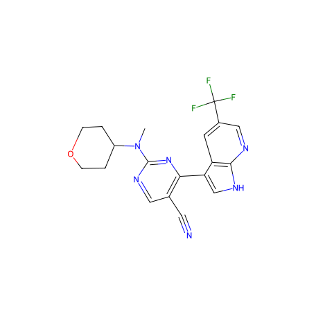 CN(c1ncc(C#N)c(-c2c[nH]c3ncc(C(F)(F)F)cc23)n1)C1CCOCC1